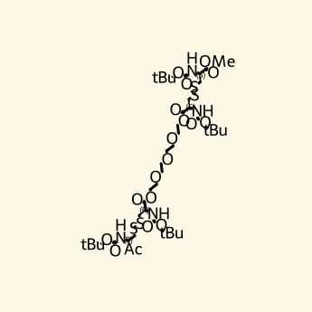 COC(=O)[C@@H](CSSC[C@@H](NC(=O)OC(C)(C)C)C(=O)OCCOCCOCCOCCOC(=O)[C@H](CSSC[C@H](NC(=O)OC(C)(C)C)C(C)=O)NC(=O)OC(C)(C)C)NC(=O)OC(C)(C)C